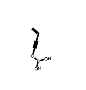 C=CC#COB(O)O